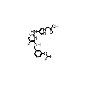 O=C(O)Cn1cc(Nc2ncc(F)c(NCc3cccc(OC(F)F)c3)n2)cn1